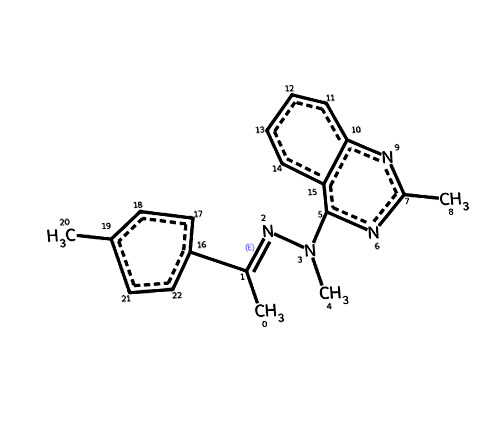 C/C(=N\N(C)c1nc(C)nc2ccccc12)c1ccc(C)cc1